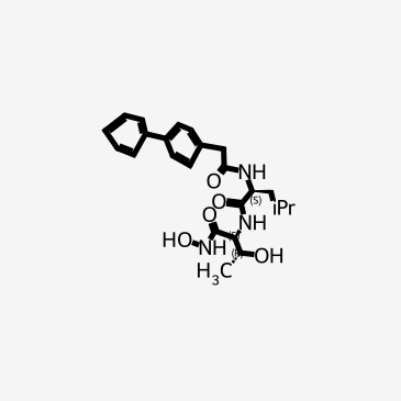 CC(C)C[C@H](NC(=O)Cc1ccc(-c2ccccc2)cc1)C(=O)N[C@H](C(=O)NO)[C@@H](C)O